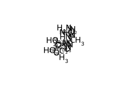 Cc1ccn2nc(C(C)Nc3ncnc(N)c3C#N)nc(-c3cc(O)cc(C(=O)O)c3)c12